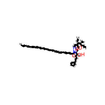 C=CCC1O[C@H](OC[C@H](NC(=O)C#CC#CC#CC#CC#CC#CC#CC#CC#CC#CC#CC#CC)[C@H](O)CCCCc2ccccc2)C(C=C)[C@@H](C=C)[C@H]1C=C